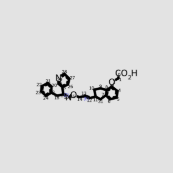 O=C(O)COc1cccc2c1CCC(/C=C/CO/N=C(/Cc1ccccc1)c1cccnc1)C2